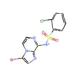 O=S(=O)(Nc1nccn2c(Br)cnc12)c1ccccc1Cl